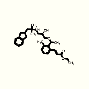 CCOC(=O)/C=C/c1cccc(C)c1C(C)OC[C@H](O)CNC(C)(C)CC1Cc2ccccc2C1